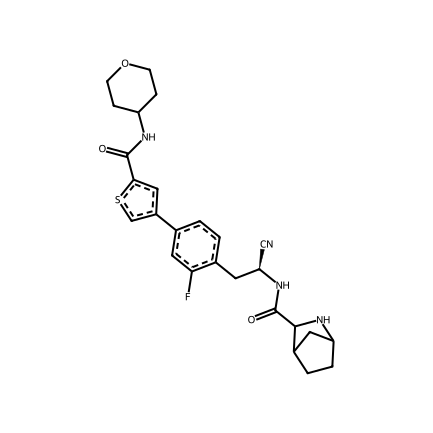 N#C[C@H](Cc1ccc(-c2csc(C(=O)NC3CCOCC3)c2)cc1F)NC(=O)C1NC2CCC1C2